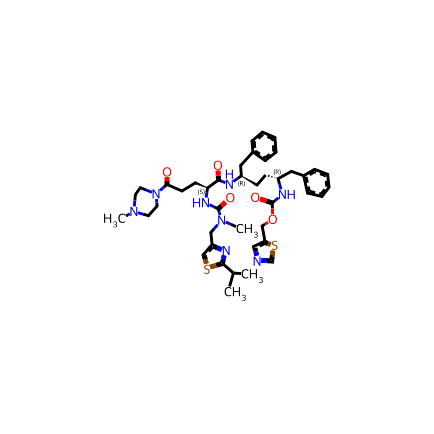 CC(C)c1nc(CN(C)C(=O)N[C@@H](CCC(=O)N2CCN(C)CC2)C(=O)N[C@H](CC[C@H](Cc2ccccc2)NC(=O)OCc2cncs2)Cc2ccccc2)cs1